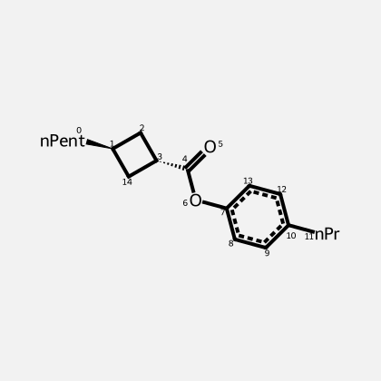 CCCCC[C@H]1C[C@H](C(=O)Oc2ccc(CCC)cc2)C1